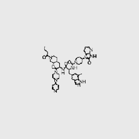 CCCC(=O)N1CCC(CC(NC(=O)C(Cc2cc(C)c3[nH]ncc3c2)NC(=O)N2CCC(n3c(=O)[nH]c4ncccc43)CC2)C(=O)N2CCN(c3ccncc3)CC2)CC1